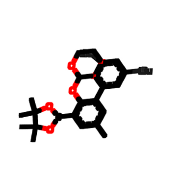 Cc1cc(B2OC(C)(C)C(C)(C)O2)c(OC2CCCCO2)c(-c2cc(C(C)(C)C)cc(C(C)(C)C)c2)c1